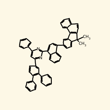 CC1(C)c2ccc(-c3ccc(-c4nc(-c5ccccc5)cc(-c5ccc(-c6ccccc6)c(-c6ccccc6)c5)n4)c4ccccc34)cc2-c2c1ccc1ccccc21